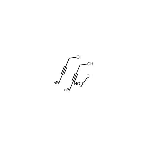 CCCC#CCO.CCCC#CCO.O=C(O)O